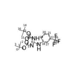 CC(C)(C)OC(=O)/N=C(\NC(=O)OC(C)(C)C)Nc1cccc(C(F)(F)F)c1